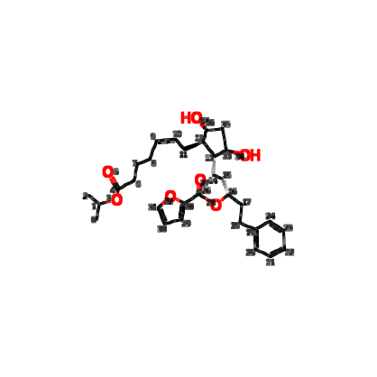 CC(C)OC(=O)CCC/C=C\C[C@@H]1[C@@H](CC[C@H](CCc2ccccc2)OC(=O)c2ccco2)[C@H](O)C[C@@H]1O